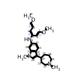 CO/C=C/C=C(\C=C\OC)Nc1ccc2c(C3CCCN(C)CC3)cn(C)c2c1